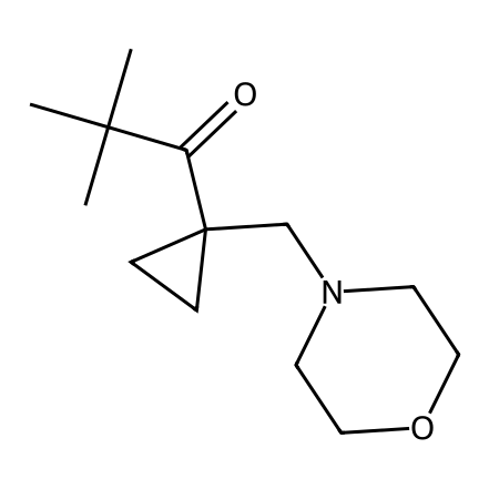 CC(C)(C)C(=O)C1(CN2CCOCC2)CC1